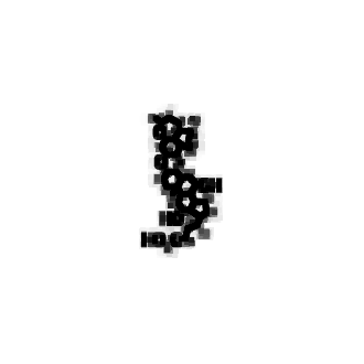 CC1CCC2C3C(CC(O[C@@H]4CCC5(C)C(C4)C[C@@H](O)C4C5C[C@H](O)[C@@]5(C)C4CCC5[C@H](C)CCC(=O)O)[C@H](C)C3CC[C@H]2C)O1